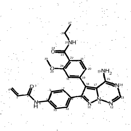 C=CC(=O)Nc1ccc(-c2nn3ncnc(N)c3c2-c2ccc(C(=O)NCC)c(OC)c2)cc1